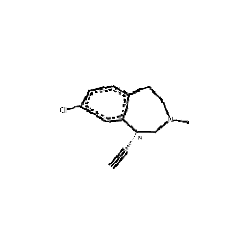 C#C[C@H]1CN(C)CCc2ccc(Cl)cc21